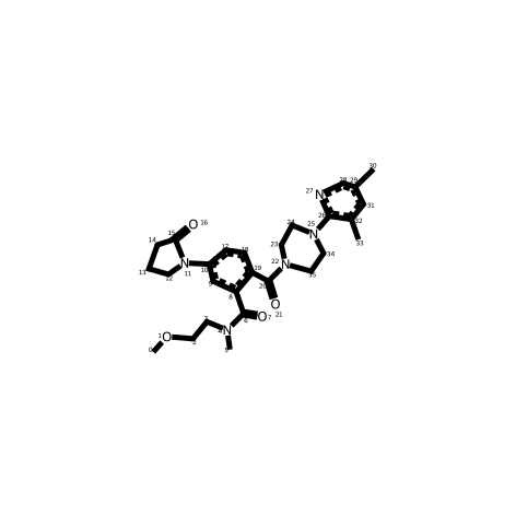 COCCN(C)C(=O)c1cc(N2CCCC2=O)ccc1C(=O)N1CCN(c2ncc(C)cc2C)CC1